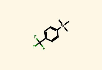 [CH3][Sn]([CH3])([CH3])[c]1c[c]c(C(F)(F)F)cc1